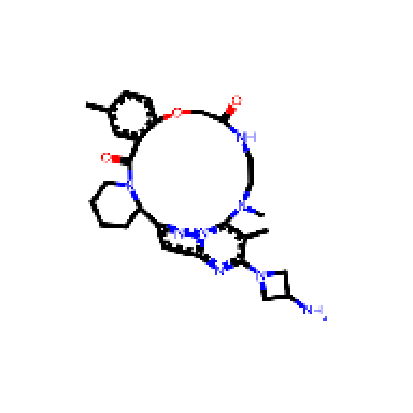 Cc1ccc2c(c1)C(=O)N1CCCCC1c1cc3nc(N4CC(N)C4)c(C)c(n3n1)N(C)CCNC(=O)CO2